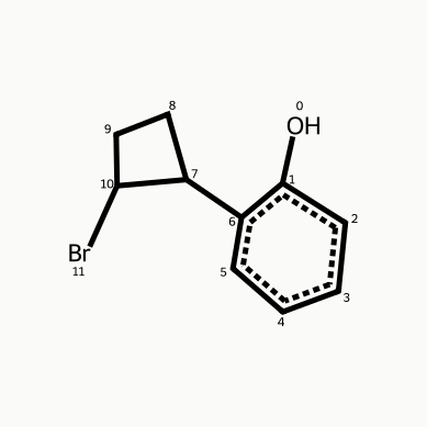 Oc1ccccc1C1CCC1Br